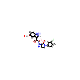 Cc1ccc(N2CCC(NC(=O)C(=O)c3c[nH]c4ccc(O)cc34)C2=O)cc1Cl